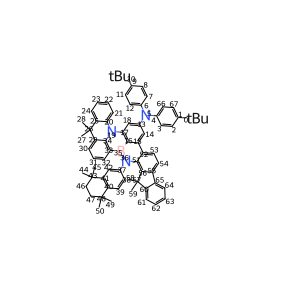 CC(C)(C)c1ccc(N(c2ccc(C(C)(C)C)cc2)c2cc3c4c(c2)N2c5ccccc5C(C)(C)c5cccc(c52)B4N(c2ccc4c(c2)C(C)(C)CCC4(C)C)c2c-3ccc3c2C(C)(C)c2ccccc2-3)cc1